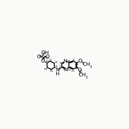 COc1cc2ncc(N[C@H]3CC[C@H](OS(=O)(=O)O)CC3)nc2cc1OC